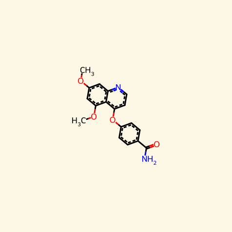 COc1cc(OC)c2c(Oc3ccc(C(N)=O)cc3)ccnc2c1